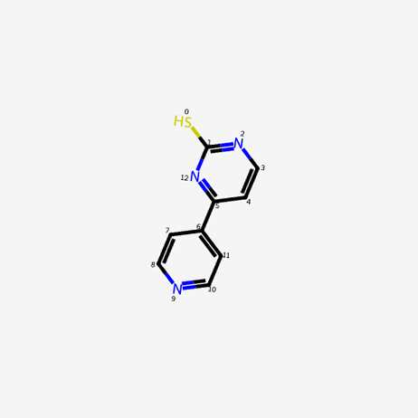 Sc1nccc(-c2ccncc2)n1